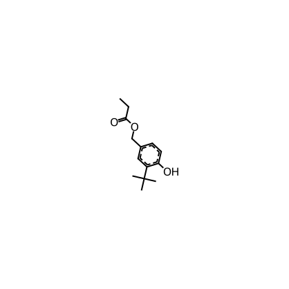 CCC(=O)OCc1ccc(O)c(C(C)(C)C)c1